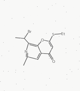 CCSc1cc(=O)c2cc(C)nc(C(C)Br)c2o1